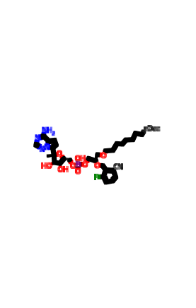 CCCCCCCCCCCCCCCCCCOC[C@H](COP(=O)(O)OC[C@H]1O[C@@](C)(c2ccc3c(N)ncnn23)[C@H](O)[C@@H]1O)OCc1c(F)cccc1C#N